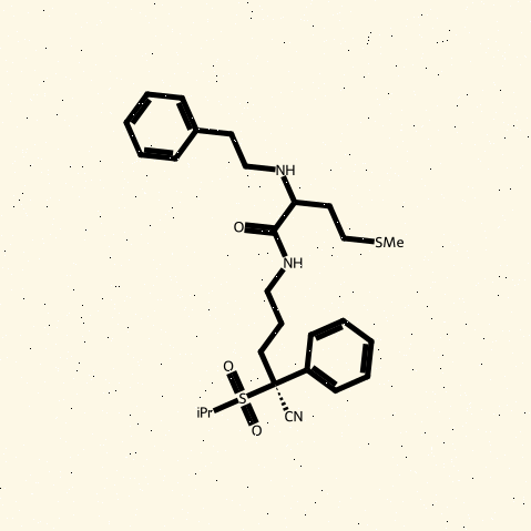 CSCCC(NCCc1ccccc1)C(=O)NCCC[C@@](C#N)(c1ccccc1)S(=O)(=O)C(C)C